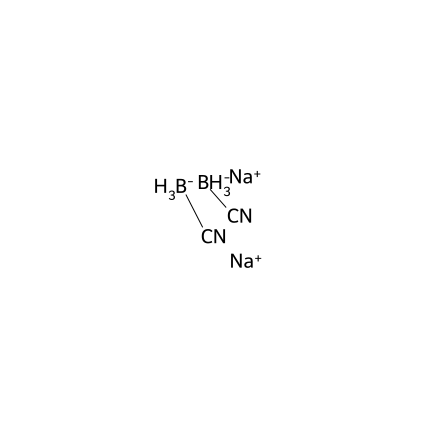 [BH3-]C#N.[BH3-]C#N.[Na+].[Na+]